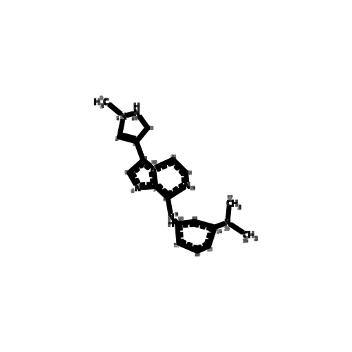 CN1C=C(c2cnc3c(Nc4cccc(N(C)C)c4)nccn23)CN1